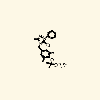 CCOC(=O)C(C)(C)Oc1c(C)cc(Cn2c(C)nn(-c3ccccc3)c2=O)cc1C